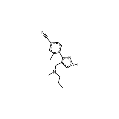 CCCN(C)Cc1c[nH]nc1-c1ccc(C#N)cc1C